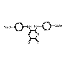 COc1ccc(NC2=CC(=O)C(=O)N=C2Nc2ccc(OC)cc2)cc1